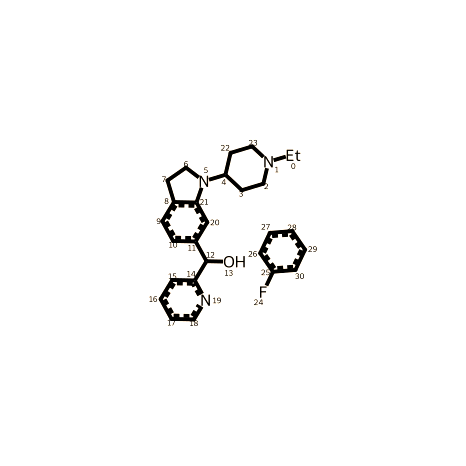 CCN1CCC(N2CCc3ccc(C(O)c4ccccn4)cc32)CC1.Fc1ccccc1